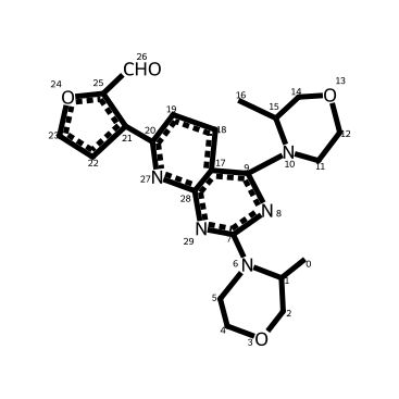 CC1COCCN1c1nc(N2CCOCC2C)c2ccc(-c3ccoc3C=O)nc2n1